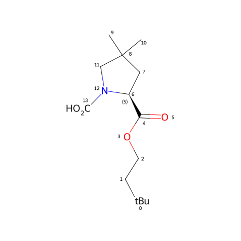 CC(C)(C)CCOC(=O)[C@@H]1CC(C)(C)CN1C(=O)O